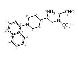 NC(CN(CC=O)C(=O)O)C1CCN(c2ccnc3ccccc23)CC1